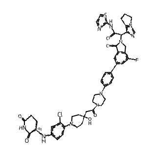 O=C1CC[C@@H](Nc2ccc(N3CCC(O)(CC(=O)N4CCN(c5ccc(-c6cc(F)c7c(c6)C(=O)N(C(C(=O)Nc6nccs6)c6ncn8c6CCC8)C7)cc5)CC4)CC3)c(Cl)c2)C(=O)N1